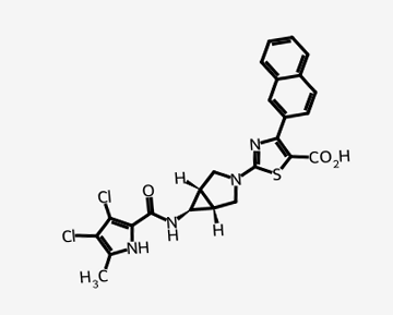 Cc1[nH]c(C(=O)N[C@H]2[C@@H]3CN(c4nc(-c5ccc6ccccc6c5)c(C(=O)O)s4)C[C@@H]32)c(Cl)c1Cl